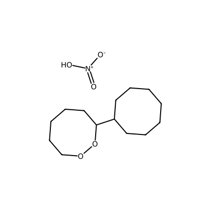 C1CCCC(C2CCCCCOO2)CCC1.O=[N+]([O-])O